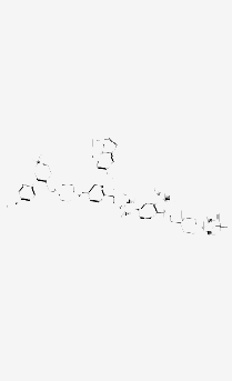 CC1(C)CCC(CN2CCN(c3ccc(C(=O)NS(=O)(=O)c4ccc(NCC5CCN(S(=O)(=O)C(F)(F)F)CC5)c([N+](=O)[O-])c4)c(Oc4cnc5[nH]ccc5c4)c3)CC2)=C(c2ccc(Cl)cc2)C1